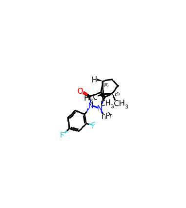 CCCn1c2c(c(=O)n1-c1ccc(F)cc1F)[C@@H]1CC[C@@]2(C)C1(C)C